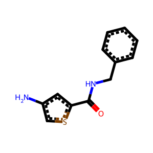 Nc1csc(C(=O)NCc2ccccc2)c1